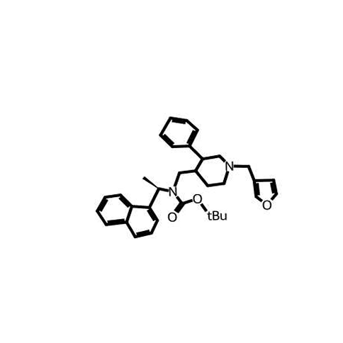 C[C@H](c1cccc2ccccc12)N(CC1CCN(Cc2ccoc2)CC1c1ccccc1)C(=O)OC(C)(C)C